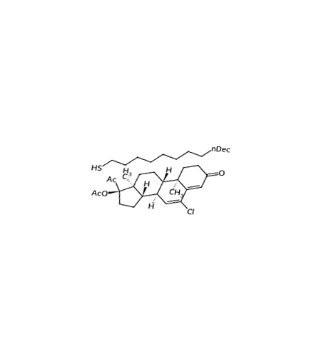 CC(=O)O[C@]1(C(C)=O)CC[C@H]2[C@@H]3C=C(Cl)C4=CC(=O)CC[C@]4(C)[C@H]3CC[C@@]21C.CCCCCCCCCCCCCCCCCCS